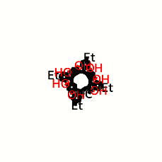 CCc1ccc(C2C(=C(\O)C=O)/C=C(\C)C(c3ccc(CC)cc3)c3cc(c(O)cc3O)C(c3ccc(CC)cc3)c3cc(c(O)cc3O)C(c3ccc(CC)cc3)c3cc2c(O)cc3O)cc1